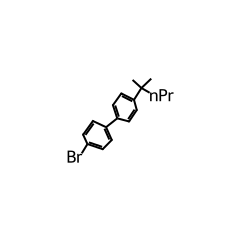 CCCC(C)(C)c1ccc(-c2ccc(Br)cc2)cc1